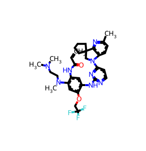 C=CC(=O)Nc1cc(Nc2nccc(N3CC4(CCCC4)c4nc(C)ccc43)n2)c(OCC(F)(F)F)cc1N(C)CCN(C)C